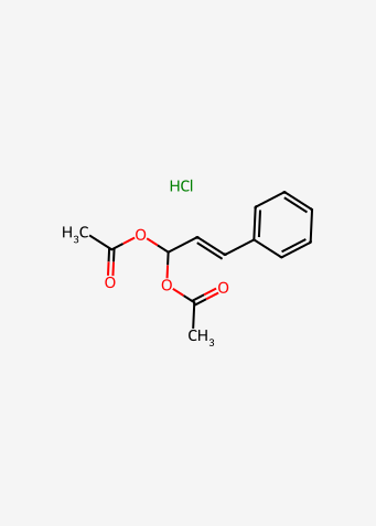 CC(=O)OC(C=Cc1ccccc1)OC(C)=O.Cl